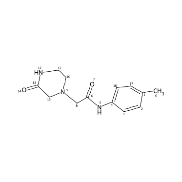 Cc1ccc(NC(=O)CN2CCNC(=O)C2)cc1